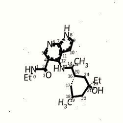 CCNC(=O)c1cnc2[nH]ccc2c1N[C@@H](C)[C@H]1CC(C)C[C@@](O)(CC)C1